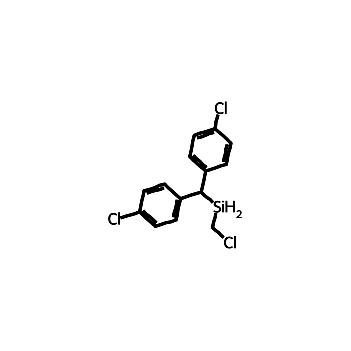 ClC[SiH2]C(c1ccc(Cl)cc1)c1ccc(Cl)cc1